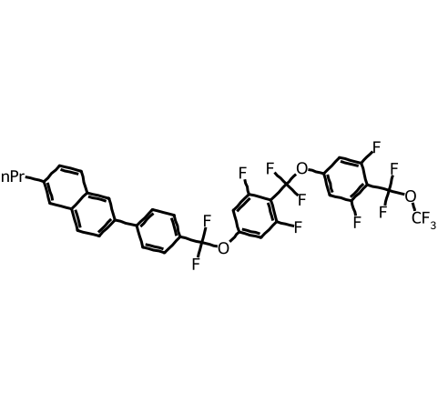 CCCc1ccc2cc(-c3ccc(C(F)(F)Oc4cc(F)c(C(F)(F)Oc5cc(F)c(C(F)(F)OC(F)(F)F)c(F)c5)c(F)c4)cc3)ccc2c1